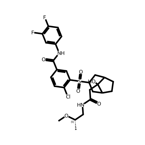 CO[C@@H](C)CNC(=O)CC1(O)C2CCC1CC(S(=O)(=O)c1cc(C(=O)Nc3ccc(F)c(F)c3)ccc1Cl)C2